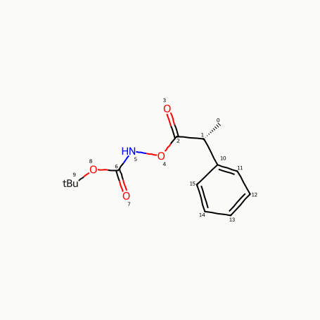 C[C@@H](C(=O)ONC(=O)OC(C)(C)C)c1ccccc1